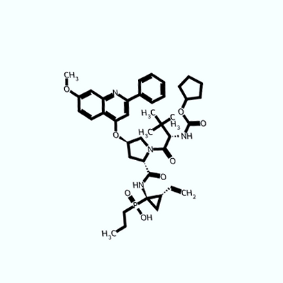 C=C[C@@H]1C[C@]1(NC(=O)[C@@H]1C[C@@H](Oc2cc(-c3ccccc3)nc3cc(OC)ccc23)CN1C(=O)[C@@H](NC(=O)OC1CCCC1)C(C)(C)C)P(=O)(O)CCC